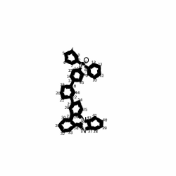 O=P(c1ccccc1)(c1ccccc1)c1ccc(-c2cccc(-c3ccc4c(c3)c3ccccc3c3nc5ccccc5n43)c2)cc1